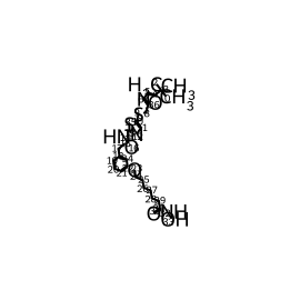 CC(C)(C)c1cnc(CSc2cnc(NC(=O)Cc3cccc(OCCCCCCC(=O)NO)c3)s2)o1